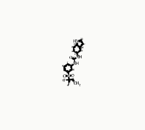 C=CC(F)(F)S(=O)(=O)c1cccc(NC(=O)Nc2ccc3[nH]ccc3c2)c1